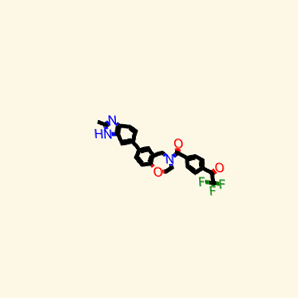 Cc1nc2ccc(-c3ccc4c(c3)CN(C(=O)c3ccc(C(=O)C(F)(F)F)cc3)CCO4)cc2[nH]1